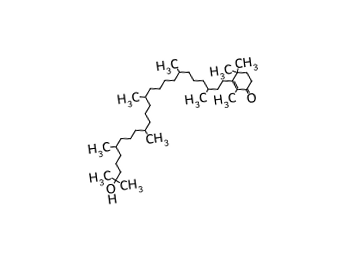 CC1=C(CCC(C)CCCC(C)CCCCC(C)CCCC(C)CCCC(C)CCCC(C)(C)O)C(C)(C)CCC1=O